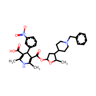 CC1=C(C(=O)O)C(c2cccc([N+](=O)[O-])c2)C(C(=O)OC2CC(C3CCN(Cc4ccccc4)CC3)C(C)O2)=C(C)N1